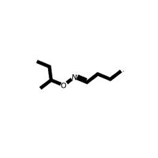 [CH2]CC/C=N/OC(C)CC